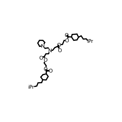 CC(C)CCCC1CCC(C(=O)OCCOC(=O)CCN(CCC(=O)OCCOC(=O)C2CCC(CCCC(C)C)CC2)CCN2CCCCC2)CC1